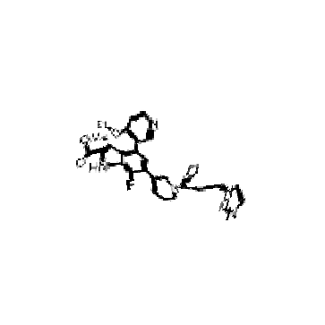 CCOc1ccncc1-c1cc(C2=CCCN(C(=O)CCn3ccnn3)C2)c(F)c2[nH]c(C(=O)OC)cc12